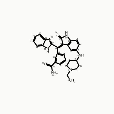 CCN1CCC(Nc2ccc3c(c2)/C(=C(\c2cccc(C(N)=O)c2)c2nc4ccccc4[nH]2)C(=O)N3)CC1